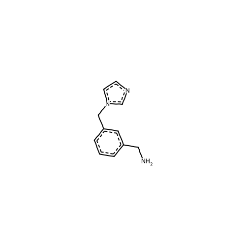 NCc1cccc(Cn2ccnc2)c1